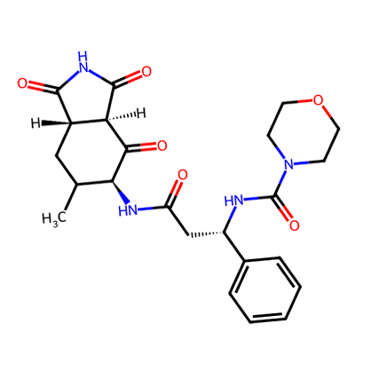 CC1C[C@@H]2C(=O)NC(=O)[C@H]2C(=O)[C@H]1NC(=O)C[C@H](NC(=O)N1CCOCC1)c1ccccc1